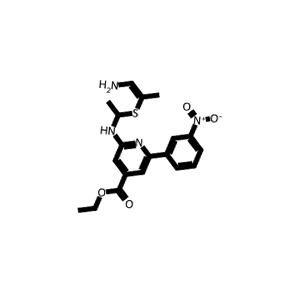 CCOC(=O)c1cc(NC(C)S/C(C)=C\N)nc(-c2cccc([N+](=O)[O-])c2)c1